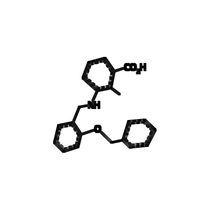 Cc1c(NCc2ccccc2OCc2ccccc2)cccc1C(=O)O